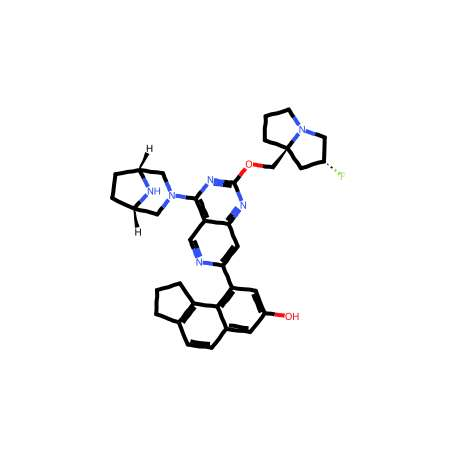 Oc1cc(-c2cc3nc(OC[C@@]45CCCN4C[C@H](F)C5)nc(N4C[C@H]5CC[C@@H](C4)N5)c3cn2)c2c3c(ccc2c1)CCC3